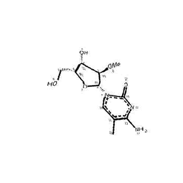 CO[C@@H]1[C@@H](O)[C@@H](CO)O[C@H]1n1cc(C)c(N)nc1=O